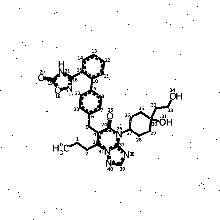 CCCc1c(Cc2ccc(-c3ccccc3-c3noc(=O)[nH]3)cc2)c(=O)n(C2CCC(O)(CCO)CC2)c2ncnn12